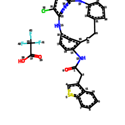 O=C(Cc1csc2ccccc12)Nc1ccc2cc1CCc1cccc(c1)Nc1ncc(Cl)c(n1)N2.O=C(O)C(F)(F)F